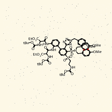 CCOC(=O)C(NC(=O)OC(C)(C)C)C(=O)Nc1cccc(-c2ccc(S(=O)(=O)CCNC(=O)OC(C)(C)C)c(S(=O)(=O)N(Cc3ccc(OC)cc3)Cc3ccc(OC)cc3)c2-c2nnn(Cc3ccc(OC)cc3)n2)c1NC(=O)C(NC(=O)OC(C)(C)C)C(=O)OCC